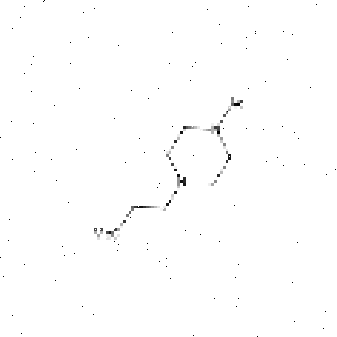 [CH2]C(=O)N1CCN(CCOC)CC1